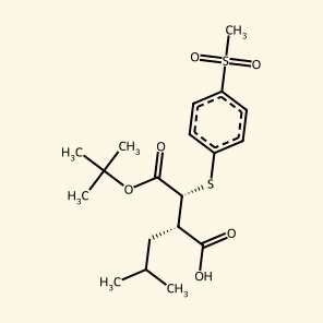 CC(C)C[C@@H](C(=O)O)[C@@H](Sc1ccc(S(C)(=O)=O)cc1)C(=O)OC(C)(C)C